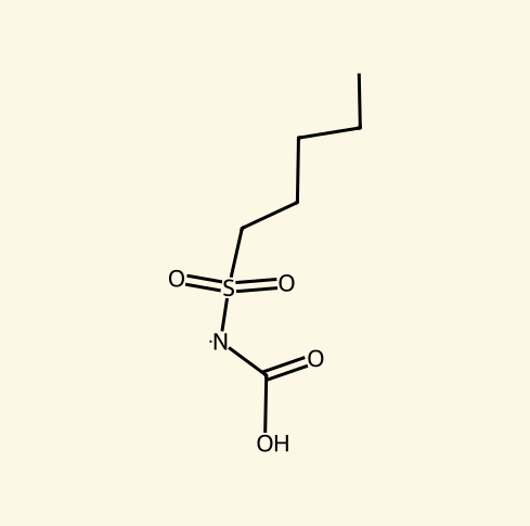 CCCCCS(=O)(=O)[N]C(=O)O